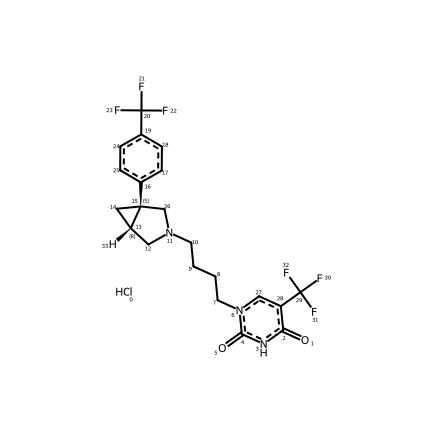 Cl.O=c1[nH]c(=O)n(CCCCN2C[C@@H]3C[C@]3(c3ccc(C(F)(F)F)cc3)C2)cc1C(F)(F)F